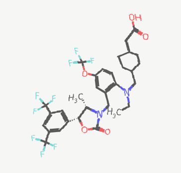 CCN(CC1CCC(CC(=O)O)CC1)c1ccc(OC(F)(F)F)cc1CN1C(=O)O[C@H](c2cc(C(F)(F)F)cc(C(F)(F)F)c2)[C@@H]1C